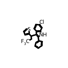 FC(F)(F)CC(c1cccs1)c1c(-c2ccccc2)[nH]c2cc(Cl)ccc12